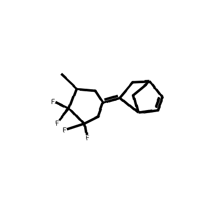 CC1CC(=C2CC3C=CC2C3)CC(F)(F)C1(F)F